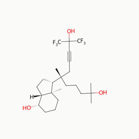 CC(C)(O)CCC[C@@](C)(CC#CC(O)(C(F)(F)F)C(F)(F)F)[C@H]1CC[C@H]2[C@@H](O)CCC[C@]12C